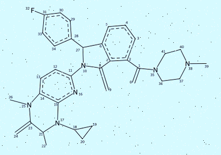 C=C(c1cccc2c1C(=C)N(c1ccc3c(n1)N(C1CC1)C(C)C(=C)N3C)C2c1ccc(F)cc1)N1CCN(C)CC1